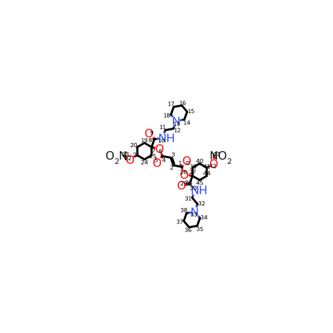 O=C(/C=C/C(=O)OC1(C(=O)NCCN2CCCCC2)CCC(O[N+](=O)[O-])CC1)OC1(C(=O)NCCN2CCCCC2)CCC(O[N+](=O)[O-])CC1